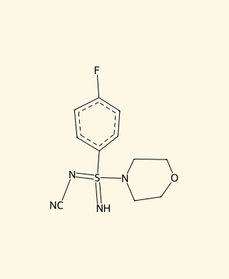 N#CN=S(=N)(c1ccc(F)cc1)N1CCOCC1